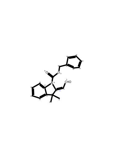 CC1(C)/C(=C/C=O)N(C(=O)OCc2ccccc2)c2ccccc21